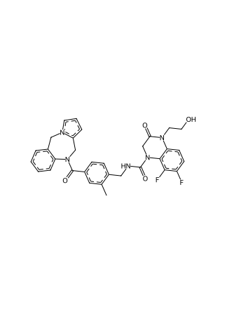 Cc1cc(C(=O)N2Cc3cccn3Cc3ccccc32)ccc1CNC(=O)N1CC(=O)N(CCO)c2ccc(F)c(F)c21